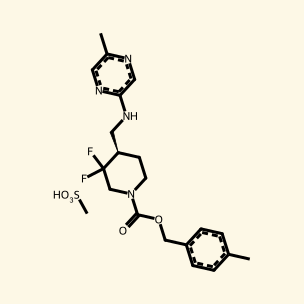 CS(=O)(=O)O.Cc1ccc(COC(=O)N2CC[C@H](CNc3cnc(C)cn3)C(F)(F)C2)cc1